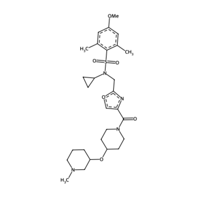 COc1cc(C)c(S(=O)(=O)N(Cc2nc(C(=O)N3CCC(OC4CCCN(C)C4)CC3)co2)C2CC2)c(C)c1